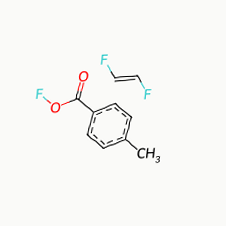 Cc1ccc(C(=O)OF)cc1.FC=CF